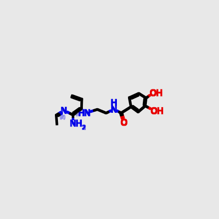 C=C/C(NCCNC(=O)c1ccc(O)c(O)c1)=C(N)\N=C/C